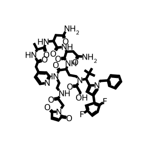 CC(NC(=O)Cc1ccncc1)C(=O)NC(CC(N)=O)C(=O)NC(CC(N)=O)C(=O)NC(CCN(C(=O)CO)C(c1cc(-c2cc(F)ccc2F)cn1Cc1ccccc1)C(C)(C)C)C(=O)NCCNC(=O)CN1C(=O)C=CC1=O